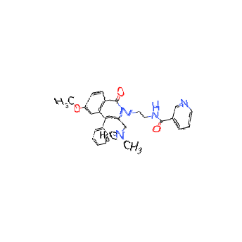 COc1ccc2c(=O)n(CCNC(=O)c3cccnc3)c(CN(C)C)c(-c3ccccc3)c2c1